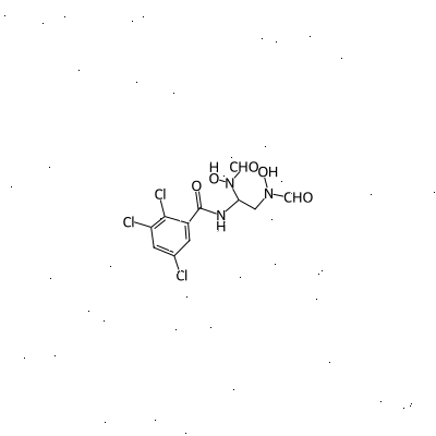 O=CN(O)CC(NC(=O)c1cc(Cl)cc(Cl)c1Cl)N(O)C=O